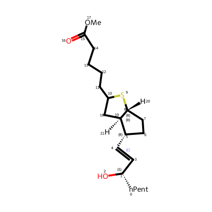 CCCCC[C@H](O)/C=C/[C@H]1CC[C@H]2SC(CCCCC(=O)OC)C[C@H]12